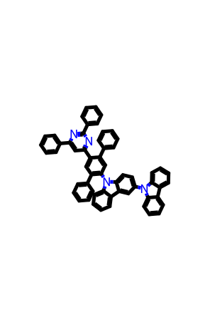 c1ccc(-c2cc(-c3cc(-c4ccccc4)c(-n4c5ccccc5c5cc(-n6c7ccccc7c7ccccc76)ccc54)cc3-c3ccccc3)nc(-c3ccccc3)n2)cc1